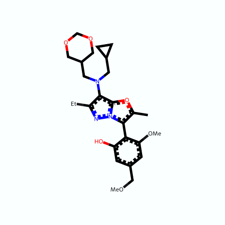 CCc1nn2c(-c3c(O)cc(COC)cc3OC)c(C)oc2c1N(CC1CC1)CC1COCOC1